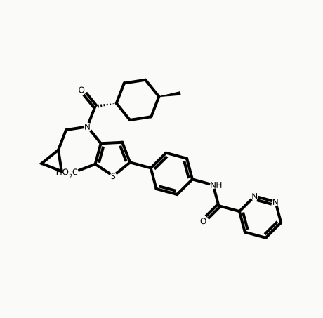 C[C@H]1CC[C@H](C(=O)N(CC2CC2)c2cc(-c3ccc(NC(=O)c4cccnn4)cc3)sc2C(=O)O)CC1